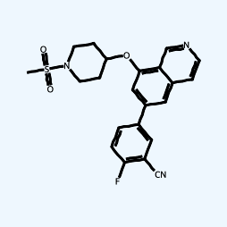 CS(=O)(=O)N1CCC(Oc2cc(-c3ccc(F)c(C#N)c3)cc3ccncc23)CC1